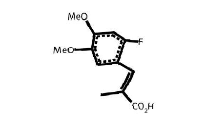 COc1cc(F)c(/C=C(\C)C(=O)O)cc1OC